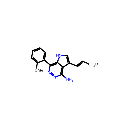 CCOC(=O)/C=C/c1c[nH]c2c(-c3ccccc3OC)nnc(N)c12